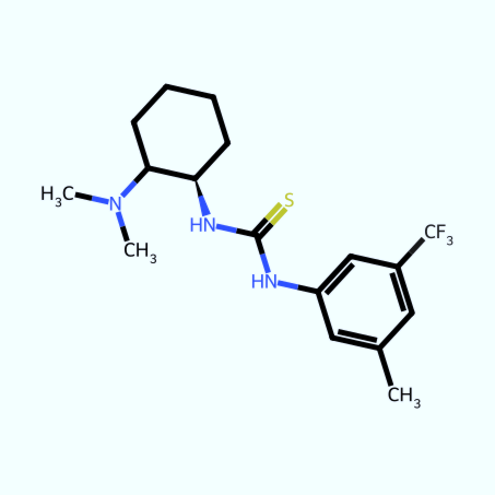 Cc1cc(NC(=S)N[C@@H]2CCCCC2N(C)C)cc(C(F)(F)F)c1